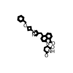 O=C1CCC(N2C(=O)c3cccc4c(Cc5cnn(C6CC(OCc7ccccc7)C6)c5)ccc2c34)C(=O)N1